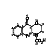 O=C(c1ccccc1F)C1CN(C(=O)O)CCO1